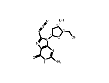 [N-]=[N+]=Nc1nc2c(=O)[nH]c(N)nc2n1[C@H]1C[C@H](O)[C@@H](CO)O1